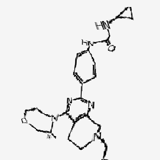 CC(C)CN1CCc2c(nc(-c3ccc(NC(=O)NC4CC4)cc3)nc2N2CCOC[C@@H]2C)C1